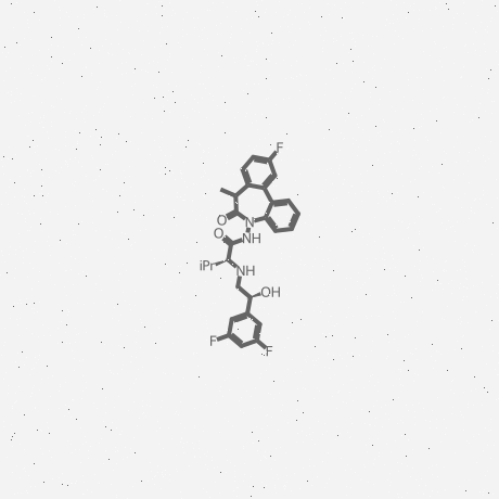 CC1C(=O)N(NC(=O)[C@@H](NC[C@@H](O)c2cc(F)cc(F)c2)C(C)C)c2ccccc2-c2cc(F)ccc21